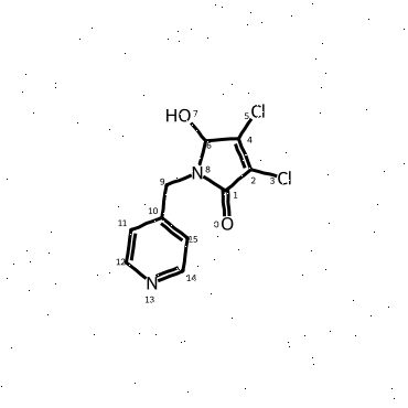 O=C1C(Cl)=C(Cl)C(O)N1Cc1ccncc1